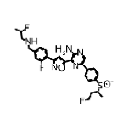 CC(F)CNCc1ccc(-c2cc(-c3nc(-c4ccc([S+]([O-])C(C)CCF)cc4)cnc3N)on2)c(F)c1